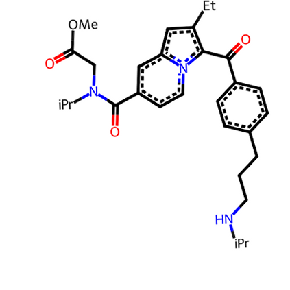 CCc1cc2cc(C(=O)N(CC(=O)OC)C(C)C)ccn2c1C(=O)c1ccc(CCCNC(C)C)cc1